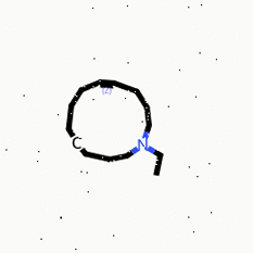 CCN1CCC/C=C\CCCCCCC1